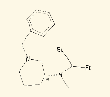 CCC(CC)N(C)[C@@H]1CCCN(Cc2ccccc2)C1